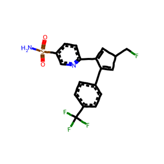 NS(=O)(=O)c1ccc(C2=CC(CF)C=C2c2ccc(C(F)(F)F)cc2)nc1